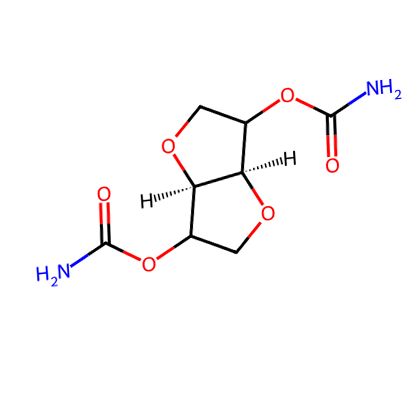 NC(=O)OC1CO[C@@H]2C(OC(N)=O)CO[C@H]12